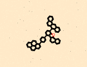 c1ccc2c(-c3ccc(-c4ccc(-c5ccc6ccc7cccc8ccc5c6c78)cc4)c4c3oc3c5ccccc5ccc34)c3ccc4ccccc4c3cc2c1